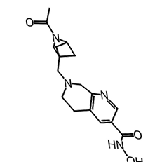 CC(=O)N1CC2(CN3CCc4cc(C(=O)NO)cnc4C3)CC1C2